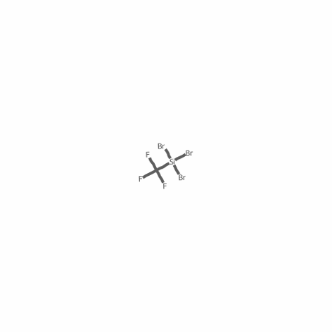 FC(F)(F)[Si](Br)(Br)Br